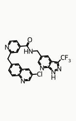 O=C(NCc1cnc2[nH]nc(C(F)(F)F)c2c1)c1ccnc(Cc2ccc3ncc(Cl)cc3c2)c1